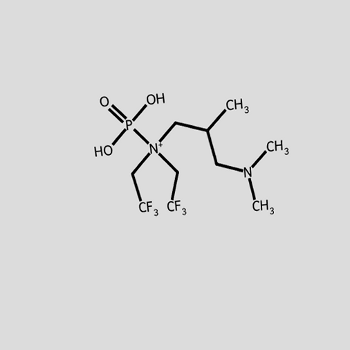 CC(CN(C)C)C[N+](CC(F)(F)F)(CC(F)(F)F)P(=O)(O)O